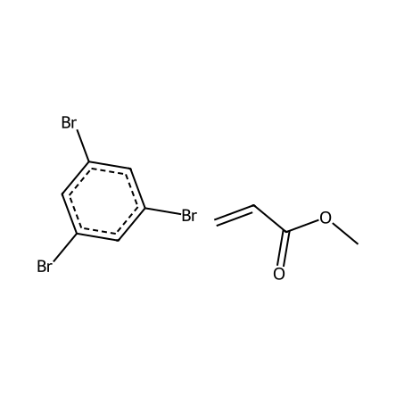 Brc1cc(Br)cc(Br)c1.C=CC(=O)OC